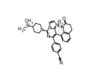 CN1C(=O)CCc2cccc(-c3c(-c4ccc(C#N)cc4)nc(N4CCC(N(C)C)CC4)n4ccnc34)c21